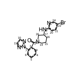 O=C(c1ccccc1-n1nccn1)N1CCCC(Nc2ccc(Br)cn2)C1